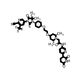 C[C@@H]1CC(OCCO[C@H]2CC[C@H](N3C(=S)N(c4cnc(C#N)c(C(F)(F)F)c4)C(=O)C3(C)C)CC2)C[C@H](C)N1CC(=O)Nc1ccc(C2CCC(=O)NC2=O)nc1